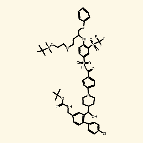 CN(CCO[Si](C)(C)C(C)(C)C)CCC(CSc1ccccc1)Nc1ccc(S(=O)(=O)NC(=O)c2ccc(N3CCC(C(O)c4cc(CNC(=O)OC(C)(C)C)ccc4-c4ccc(Cl)cc4)CC3)cc2)cc1S(=O)(=O)C(F)(F)F